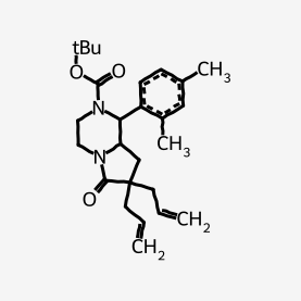 C=CCC1(CC=C)CC2C(c3ccc(C)cc3C)N(C(=O)OC(C)(C)C)CCN2C1=O